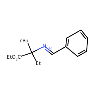 CCCCC(CC)(/N=C/c1ccccc1)C(=O)OCC